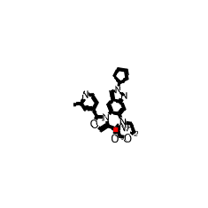 Cc1cc(C2OC=C(C(N)=O)N2c2cc3cn(C4CCCC4)nc3cc2N2CCOCC2)ccn1